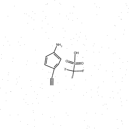 C#Cc1ccc(N)cc1.O=S(=O)(O)C(F)(F)F